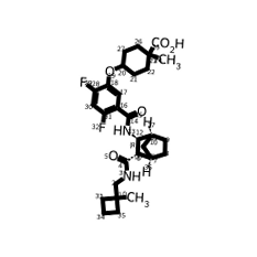 CC1(CNC(=O)[C@H]2[C@@H]3CC[C@@H](C3)[C@H]2NC(=O)c2cc(OC3CCC(C)(C(=O)O)CC3)c(F)cc2F)CCC1